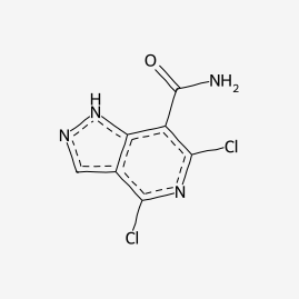 NC(=O)c1c(Cl)nc(Cl)c2cn[nH]c12